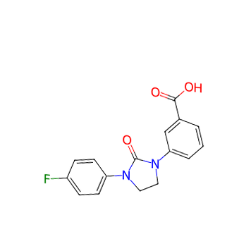 O=C(O)c1cccc(N2CCN(c3ccc(F)cc3)C2=O)c1